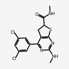 CNC(=O)C1Cc2c(nc(NC)nc2-c2cc(Cl)cc(Cl)c2)S1